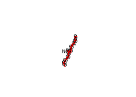 C=CC(=O)OCC(C)OC(=O)CCC(=O)OCCc1ccc(OC(=O)[C@H]2CC[C@H](C(=O)Oc3c(C)c(C)c(OC(=O)[C@H]4CC[C@H](C(=O)Oc5ccc(CCOC(=O)CCC(=O)OC(C)COCC(C)OC(=O)C=C)cc5)CC4)c4c3SC(=C(C#N)C#N)S4)CC2)cc1